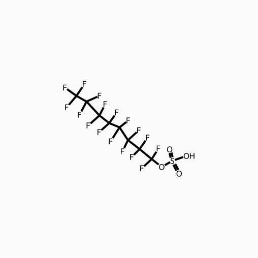 O=S(=O)(O)OC(F)(F)C(F)(F)C(F)(F)C(F)(F)C(F)(F)C(F)(F)C(F)(F)C(F)(F)F